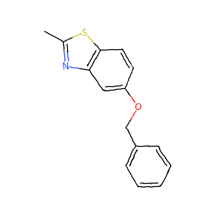 Cc1nc2cc(OCc3ccccc3)ccc2s1